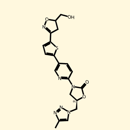 Cc1cn(C[C@H]2CN(c3ccc(-c4ccc(C5=NOC(CO)C5)s4)cn3)C(=O)O2)nn1